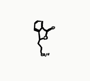 O=C(O)CCCC1OC(=O)c2ccccc21